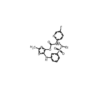 CCN(CC)S(=O)(=O)c1cccc(Nc2sc(C)nc2OC(=O)Nc2ccc(F)cn2)c1